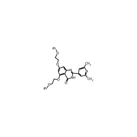 Cc1cc(-c2nc3cc(OCCOC(C)C)cc(OCCOC(C)C)c3c(=O)[nH]2)cc(C)n1